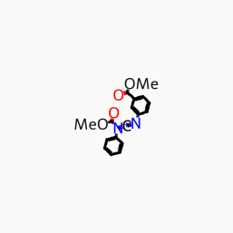 COC(=O)c1cccc(N=C=[N+](C(=O)OC)c2ccccc2)c1